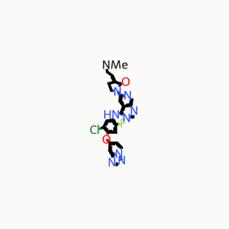 CNC/C=C1\CCN(c2cc3c(Nc4cc(Cl)c(Oc5ccn6ncnc6c5)cc4F)ncnc3cn2)C1=O